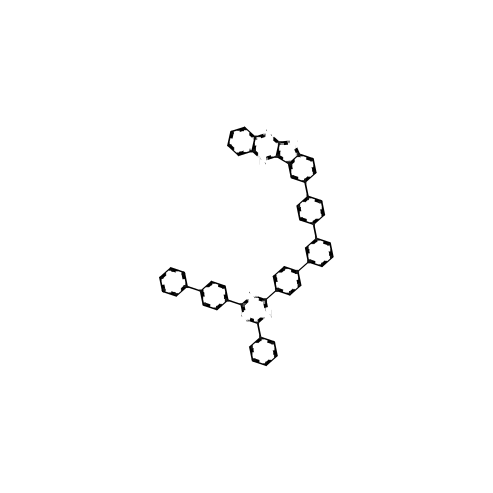 c1ccc(-c2ccc(-c3nc(-c4ccccc4)nc(-c4ccc(-c5cccc(-c6ccc(-c7ccc8oc9nc%10ccccc%10nc9c8c7)cc6)c5)cc4)n3)cc2)cc1